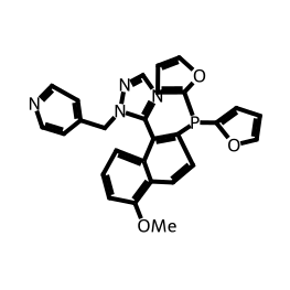 COc1cccc2c(-c3ncnn3Cc3ccncc3)c(P(c3ccco3)c3ccco3)ccc12